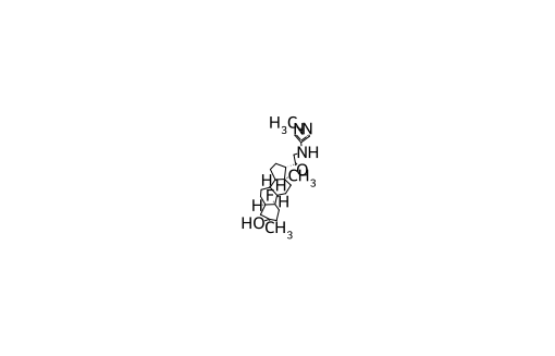 Cn1cc(NCC(=O)[C@H]2CC[C@H]3[C@@H]4CC[C@@H]5C[C@](C)(O)CC[C@]5(F)[C@H]4CC[C@]23C)cn1